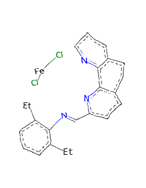 CCc1cccc(CC)c1N=Cc1ccc2ccc3cccnc3c2n1.[Cl][Fe][Cl]